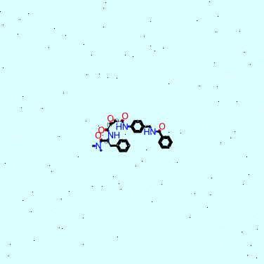 CN(C)C(=O)[C@H](Cc1ccccc1)NC(=O)[C@H]1O[C@@H]1C(=O)Nc1ccc(CNC(=O)c2ccccc2)cc1